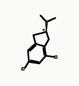 CN(C)[C@@H]1Cc2cc(Cl)cc(Cl)c2C1